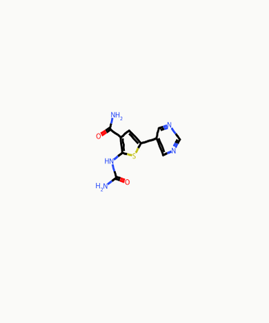 NC(=O)Nc1sc(-c2cncnc2)cc1C(N)=O